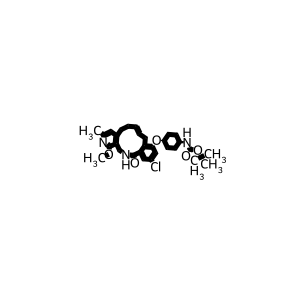 COc1nc(C)cc2c1CNC(=O)c1cc(Cl)cc(O[C@H]3CC[C@H](NC(=O)OC(C)(C)C)CC3)c1C/C=C/CC2